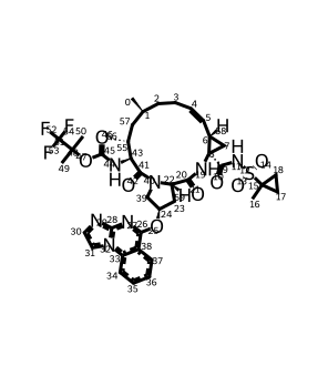 C[C@H]1CC/C=C\[C@@H]2C[C@@]2(C(=O)NS(=O)(=O)C2(C)CC2)NC(=O)[C@@H]2C[C@@H](Oc3nc4nccn4c4ccccc34)CN2C(=O)[C@@H](NC(=O)OC(C)(C)C(F)(F)F)[C@H](C)C1